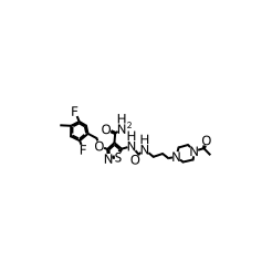 CC(=O)N1CCN(CCCNC(=O)Nc2snc(OCc3cc(F)c(C)cc3F)c2C(N)=O)CC1